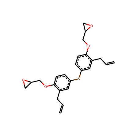 C=CCc1cc(Sc2ccc(OCC3CO3)c(CC=C)c2)ccc1OCC1CO1